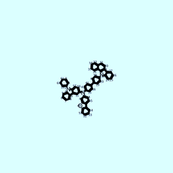 C1=CC(n2c3ccccc3c3cc(N(c4ccc(-c5ccc(-n6c7ccccc7c7ccc8ccccc8c76)cc5)cc4)c4ccc5c(c4)oc4ccccc45)ccc32)=CCC1